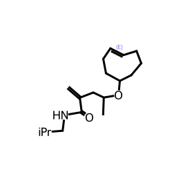 C=C(CC(C)OC1CC/C=C/CCC1)C(=O)NCC(C)C